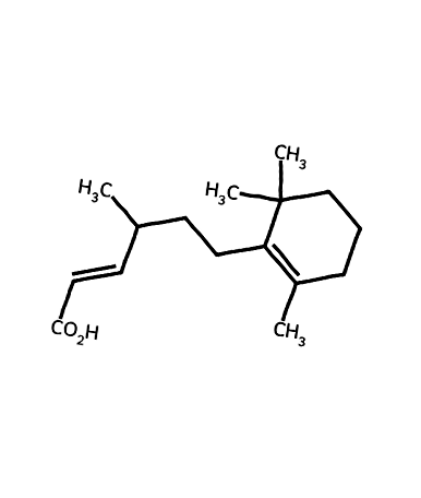 CC1=C(CCC(C)/C=C/C(=O)O)C(C)(C)CCC1